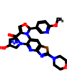 COc1ccc(C2OC=C(C(N)=O)N2c2cc3sc(N4CCOCC4)nc3nc2N2CCC(O)C2)cn1